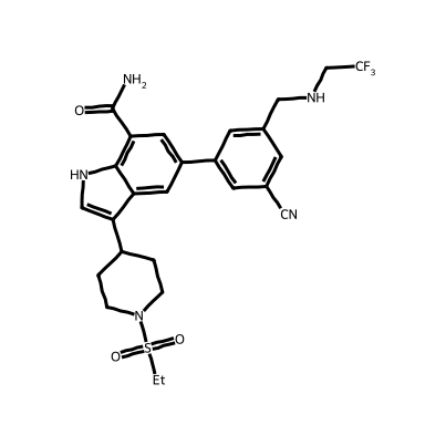 CCS(=O)(=O)N1CCC(c2c[nH]c3c(C(N)=O)cc(-c4cc(C#N)cc(CNCC(F)(F)F)c4)cc23)CC1